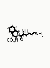 NCCCCC(N)C(=O)N1Cc2ccccc2C[C@H]1C(=O)O